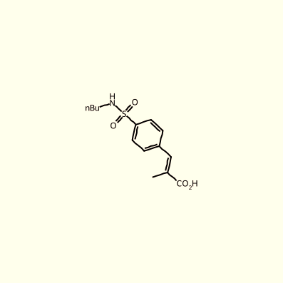 CCCCNS(=O)(=O)c1ccc(C=C(C)C(=O)O)cc1